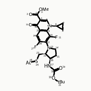 COC(=O)c1cn(C2CC2)c2c(F)c(N3CC[C@@H](NC(=O)OC(C)(C)C)[C@H]3CSC(C)=O)c(F)cc2c1=O